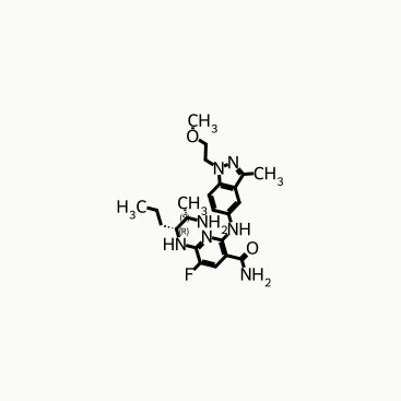 CCC[C@@H](Nc1nc(Nc2ccc3c(c2)c(C)nn3CCOC)c(C(N)=O)cc1F)[C@H](C)N